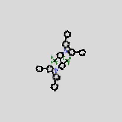 FC(F)(F)c1ccc(-n2c3ccc(-c4ccccc4)cc3c3cc(-c4ccccc4)ccc32)cc1-c1cc(-n2c3ccc(-c4ccccc4)cc3c3cc(-c4ccccc4)ccc32)ccc1C(F)(F)F